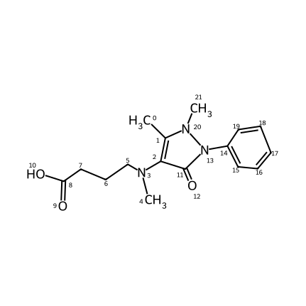 Cc1c(N(C)CCCC(=O)O)c(=O)n(-c2ccccc2)n1C